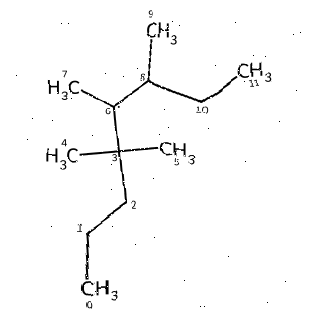 CCCC(C)(C)[C](C)C(C)CC